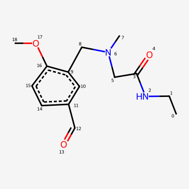 CCNC(=O)CN(C)Cc1cc(C=O)ccc1OC